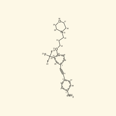 Nc1ccc(C#Cc2ccc(OCCCN3CCOCC3)c(C(F)(F)F)c2)cc1